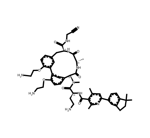 Cc1cc(-c2ccc3c(c2)CCC3(C)C)nc(C)c1C(=O)N[C@@H](CCN)C(=O)N(C)[C@@H]1C(=O)N[C@@H](C)C(=O)N[C@H](C(=O)NCC#N)Cc2ccc(OCCN)c(c2)-c2cc1ccc2OCCN